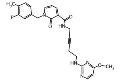 COc1ccnc(NCCC#CCNC(=O)c2cccn(Cc3ccc(C)c(F)c3)c2=O)n1